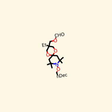 CCCCCCCCCCCON1C(C)(C)CC2(CC1(C)C)OCC(CC)(COC=O)CO2